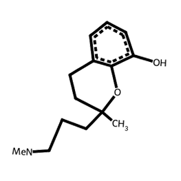 CNCCCC1(C)CCc2cccc(O)c2O1